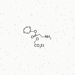 CCOC(=O)COP(=O)(CCN)Oc1ccccc1